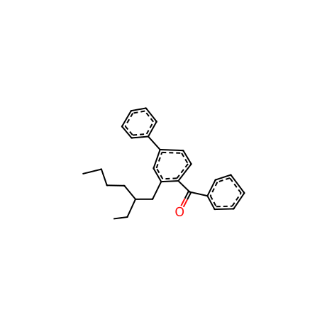 CCCCC(CC)Cc1cc(-c2ccccc2)ccc1C(=O)c1ccccc1